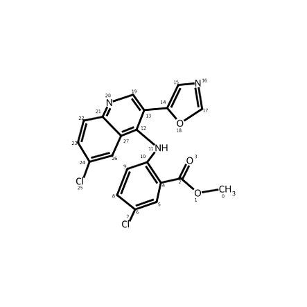 COC(=O)c1cc(Cl)ccc1Nc1c(-c2cnco2)cnc2ccc(Cl)cc12